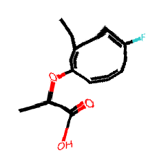 Cc1cc(F)ccc1OC(C)C(=O)O